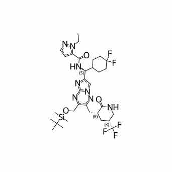 CCn1nccc1C(=O)N[C@H](c1cn2nc(C[C@H]3C[C@@H](C(F)(F)F)CNC3=O)c(CO[Si](C)(C)C(C)(C)C)nc2n1)C1CCC(F)(F)CC1